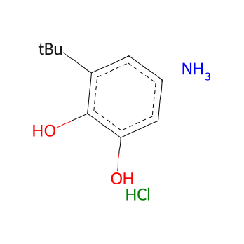 CC(C)(C)c1cccc(O)c1O.Cl.N